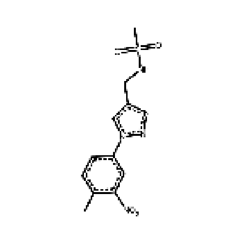 Cc1ccc(-n2cc(CNS(C)(=O)=O)nn2)cc1[N+](=O)[O-]